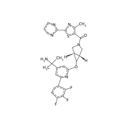 Cc1nc(-c2ncccn2)sc1C(=O)N1C[C@@H]2C(Oc3cc(C(C)(C)N)cc(-c4ccc(F)c(F)c4F)n3)[C@@H]2C1